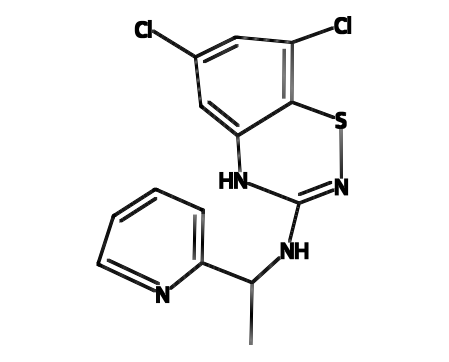 CC(NC1=NSc2c(Cl)cc(Cl)cc2N1)c1ccccn1